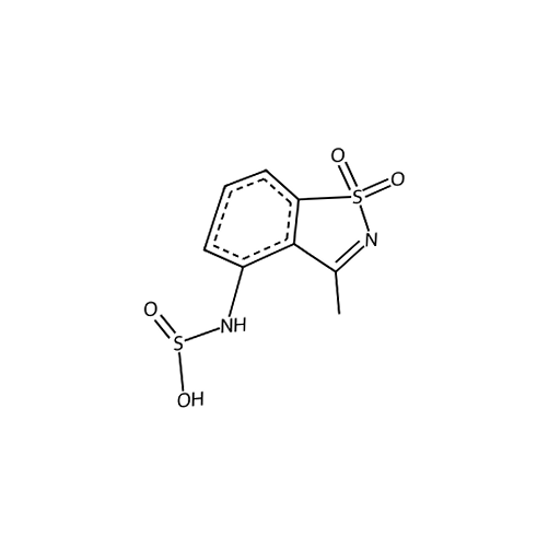 CC1=NS(=O)(=O)c2cccc(NS(=O)O)c21